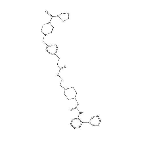 O=C(CCc1ccc(CN2CCN(C(=O)N3CCCC3)CC2)cc1)NCCN1CCC(OC(=O)Nc2ccccc2-c2ccccc2)CC1